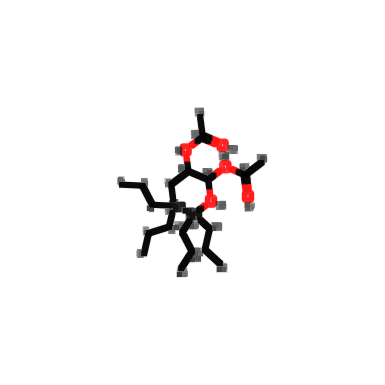 CC[CH2][Sn]1([CH2]CC)[CH2]C(OC(C)=O)C(OC(C)=O)[O][Sn]1([CH2]CC)[CH2]CC